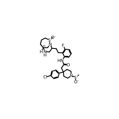 C[S+]([O-])N1CCC(CC(=O)Nc2cccc(F)c2CCC2CN[C@@H]3CCC[S+]([O-])N2C3)(c2ccc(Cl)cc2)CC1